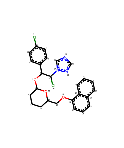 Clc1ccc(C(OC2CCCC(COc3cccc4ccccc34)O2)C(Cl)n2cncn2)cc1